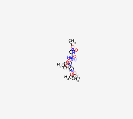 CCCCON1C(=O)N2CC1CC[C@H]2C(=O)NNC(=O)CN(C(=O)OC(C)(C)C)C1CCN(C(=O)OC(C)(C)C)CC1